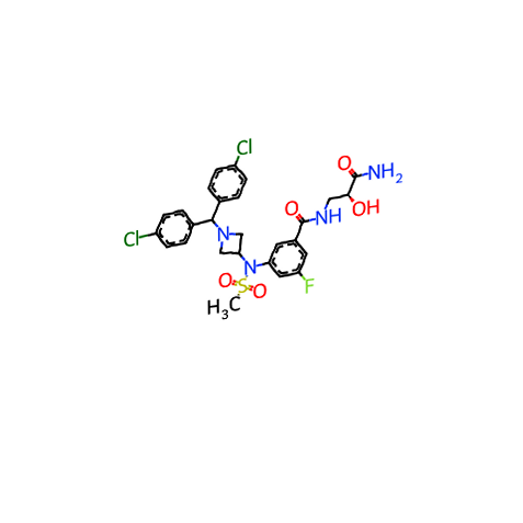 CS(=O)(=O)N(c1cc(F)cc(C(=O)NC[C@H](O)C(N)=O)c1)C1CN(C(c2ccc(Cl)cc2)c2ccc(Cl)cc2)C1